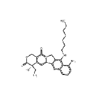 CCCCCCCNc1c2c(nc3cccc(N)c13)-c1cc3c(c(=O)n1C2)COC(=O)[C@]3(O)CC